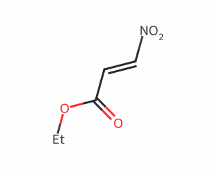 CCOC(=O)/C=C/[N+](=O)[O-]